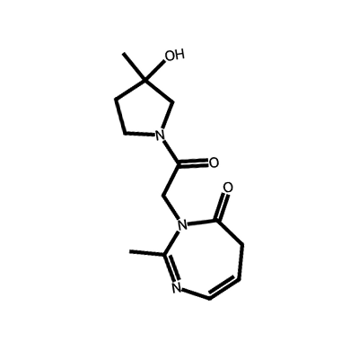 CC1=NC=CCC(=O)N1CC(=O)N1CCC(C)(O)C1